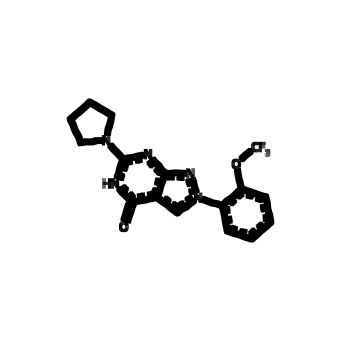 O=c1[nH]c(N2CCCC2)nc2nn(-c3ccccc3OC(F)(F)F)cc12